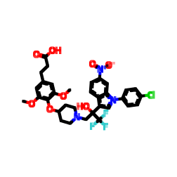 COc1cc(CCC(=O)O)cc(OC)c1OC1CCN(CC(O)(c2cn(-c3ccc(Cl)cc3)c3cc([N+](=O)[O-])ccc23)C(F)(F)F)CC1